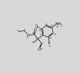 CCOC(=O)C(C)(C=O)c1c(F)cc(N)cc1F